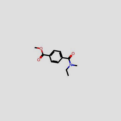 CCN(C)C(=O)c1ccc(C(=O)OC)cc1